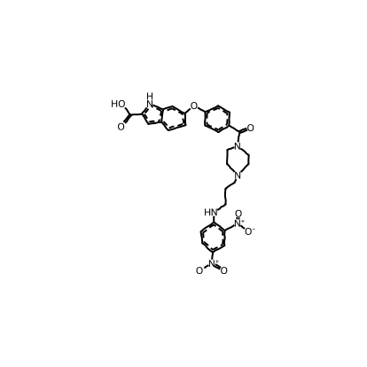 O=C(O)c1cc2ccc(Oc3ccc(C(=O)N4CCN(CCCNc5ccc([N+](=O)[O-])cc5[N+](=O)[O-])CC4)cc3)cc2[nH]1